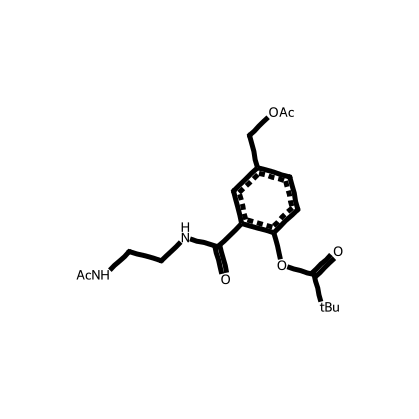 CC(=O)NCCNC(=O)c1cc(COC(C)=O)ccc1OC(=O)C(C)(C)C